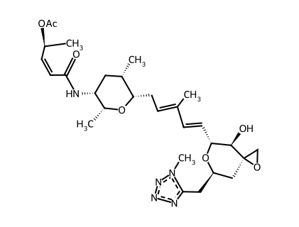 CC(=O)O[C@@H](C)/C=C\C(=O)N[C@@H]1C[C@H](C)[C@H](C/C=C(C)/C=C/[C@H]2O[C@H](Cc3nnnn3C)C[C@@]3(CO3)[C@@H]2O)O[C@@H]1C